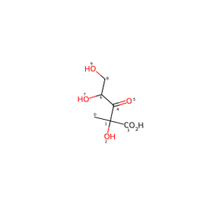 CC(O)(C(=O)O)C(=O)C(O)CO